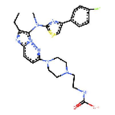 CCc1nc2ccc(N3CCN(CCNC(=O)O)CC3)nn2c1N(C)c1nc(-c2ccc(F)cc2)cs1